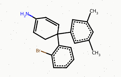 Cc1cc(C)cc(C2(c3ccccc3Br)C=CC(N)=CC2)c1